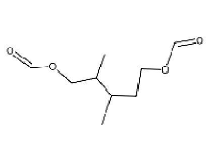 CC(CCOC=O)C(C)COC=O